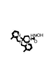 Cc1cccnc1CN(Cc1ncccc1C)C1(C)CCN(C(=O)NO)CC1